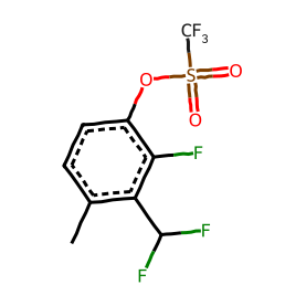 Cc1ccc(OS(=O)(=O)C(F)(F)F)c(F)c1C(F)F